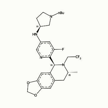 CCCCN1CC[C@H](Nc2cnc([C@@H]3c4cc5c(cc4C[C@@H](C)N3CC(F)(F)F)OCO5)c(F)c2)C1